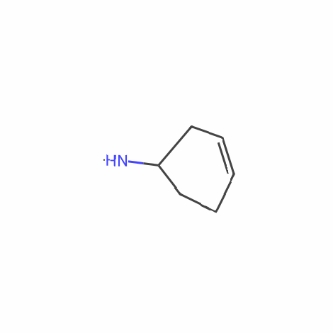 [NH]C1CC=CCC1